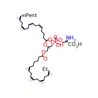 CC/C=C\C/C=C\C/C=C\C/C=C\CCCCC(=O)OC[C@H](COP(=O)(O)OC[C@H](N)C(=O)O)OC(=O)CCC/C=C\C/C=C\C/C=C\C/C=C\CCCCC